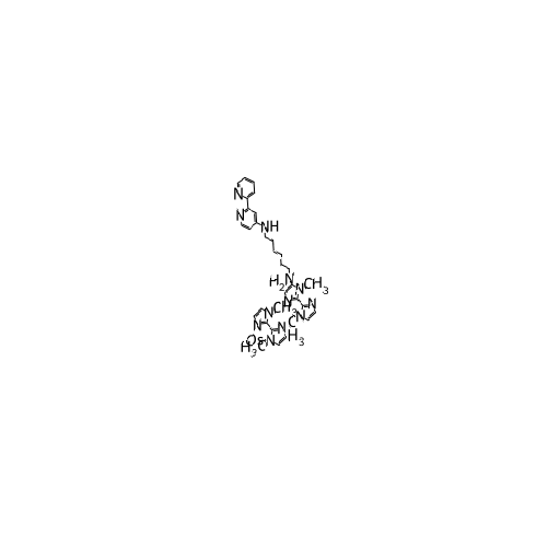 Cn1ccnc1-c1nccn1C.Cn1ccnc1-c1nccn1C.NCCCCCCNc1ccnc(-c2ccccn2)c1.[Os]